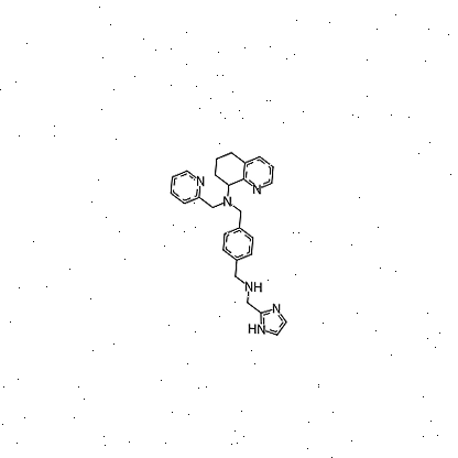 c1ccc(CN(Cc2ccc(CNCc3ncc[nH]3)cc2)C2CCCc3cccnc32)nc1